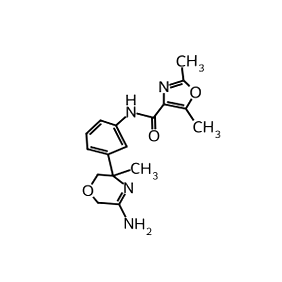 Cc1nc(C(=O)Nc2cccc(C3(C)COCC(N)=N3)c2)c(C)o1